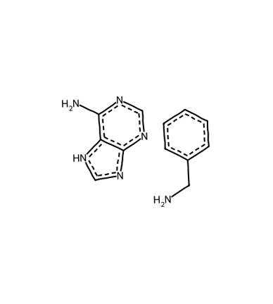 NCc1ccccc1.Nc1ncnc2nc[nH]c12